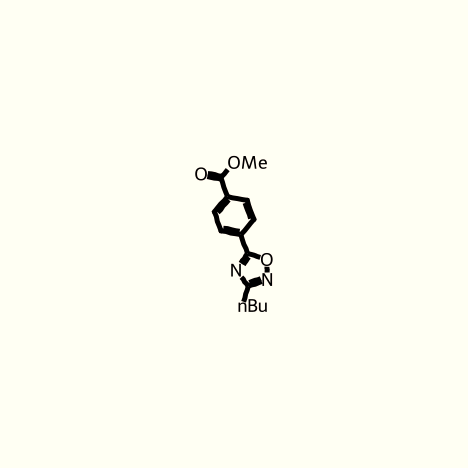 CCCCc1noc(-c2ccc(C(=O)OC)cc2)n1